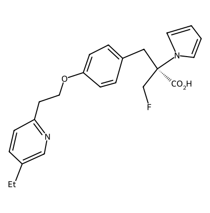 CCc1ccc(CCOc2ccc(C[C@@](CF)(C(=O)O)n3cccc3)cc2)nc1